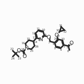 CC(=O)c1ccc(COc2cccc(C3CCN(C(=O)OC(C)(C)C)CC3)n2)c(OC2CC2)c1